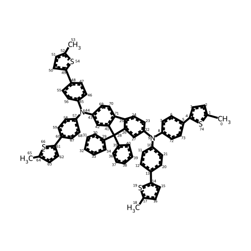 Cc1ccc(-c2ccc(N(c3ccc(-c4ccc(C)s4)cc3)c3ccc4c(c3)C(c3ccccc3)(c3ccccc3)c3cc(N(c5ccc(-c6ccc(C)s6)cc5)c5ccc(-c6ccc(C)s6)cc5)ccc3-4)cc2)s1